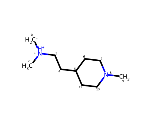 [CH2-][NH+](C)CCC1CCN(C)CC1